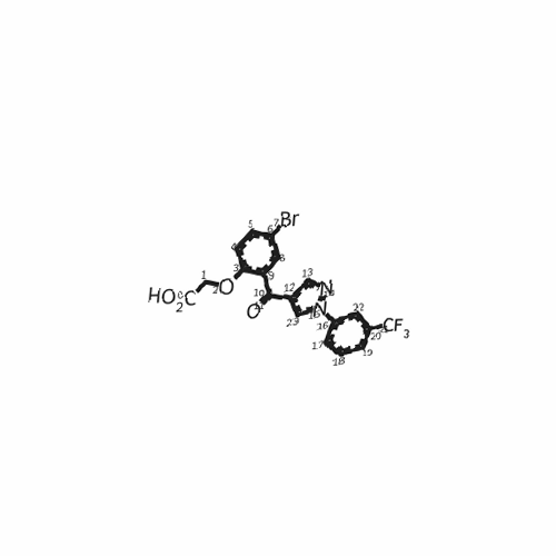 O=C(O)COc1ccc(Br)cc1C(=O)c1cnn(-c2cccc(C(F)(F)F)c2)c1